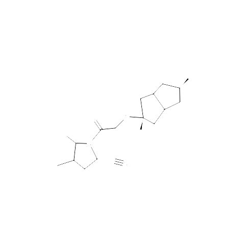 CC1C[C@@H](C#N)N(C(=O)CN[C@]2(C)C[C@H]3C[C@@H](O)C[C@H]3C2)C1C